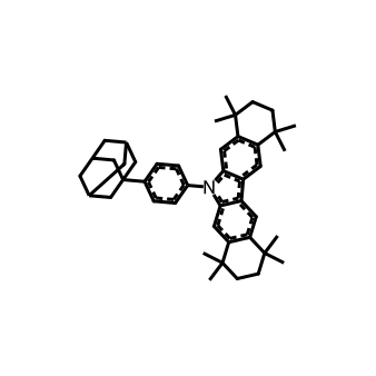 CC1(C)CCC(C)(C)c2cc3c(cc21)c1cc2c(cc1n3-c1ccc(C34CC5CC(CC(C5)C3)C4)cc1)C(C)(C)CCC2(C)C